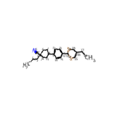 CCCC1(C#N)CCC(c2ccc(C3SCC(CC)CS3)cc2)CC1